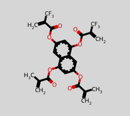 C=C(C)C(=O)Oc1cc(OC(=O)C(=C)C)c2cc(OC(=O)C(=C)C(F)(F)F)cc(OC(=O)C(=C)C(F)(F)F)c2c1